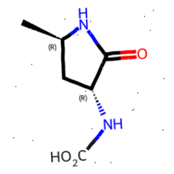 C[C@@H]1C[C@@H](NC(=O)O)C(=O)N1